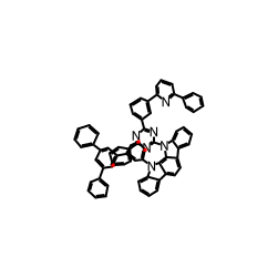 c1ccc(-c2cc(-c3ccccc3)cc(-c3cccc(-n4c5ccccc5c5ccc6c7ccccc7n(-c7nc(-c8ccccc8)nc(-c8cccc(-c9cccc(-c%10ccccc%10)n9)c8)n7)c6c54)c3)c2)cc1